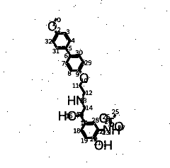 COc1ccc(-c2ccc(OCCNC[C@H](O)c3ccc(O)c(NS(C)(=O)=O)c3)cc2)cc1